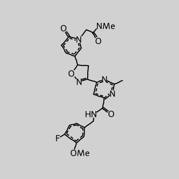 CNC(=O)Cn1cc(C2CC(c3cc(C(=O)NCc4ccc(F)c(OC)c4)nc(C)n3)=NO2)ccc1=O